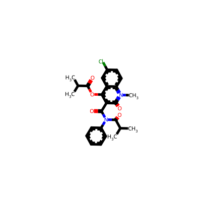 CC(C)C(=O)Oc1c(C(=O)N(C(=O)C(C)C)c2ccccc2)c(=O)n(C)c2ccc(Cl)cc12